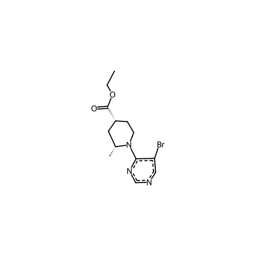 CCOC(=O)[C@@H]1CCN(c2ncncc2Br)[C@H](C)C1